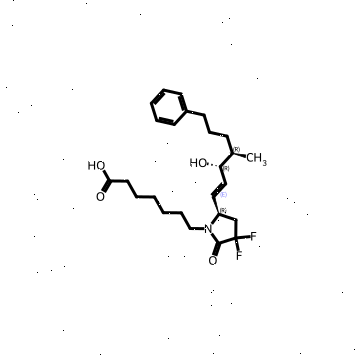 C[C@H](CCCc1ccccc1)[C@@H](O)/C=C/[C@H]1CC(F)(F)C(=O)N1CCCCCCC(=O)O